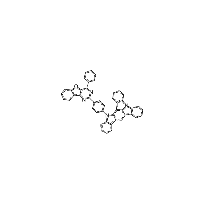 c1ccc(-c2nc(-c3ccc(-n4c5ccccc5c5cc6c7ccccc7n7c8ccccc8c(c54)c67)cc3)nc3c2oc2ccccc23)cc1